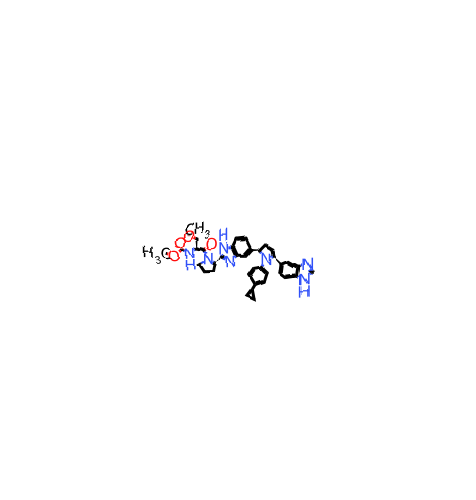 COC[C@H](NC(=O)OC)C(=O)N1CCC[C@H]1c1nc2cc([C@H]3CC[C@@H](c4ccc5[nH]cnc5c4)N3c3ccc(C4CC4)cc3)ccc2[nH]1